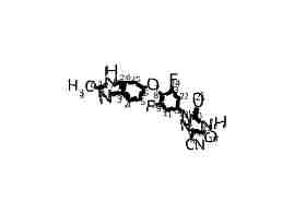 Cc1nc2ccc(Oc3c(F)cc(-n4nc(C#N)c(=O)[nH]c4=O)cc3F)cc2[nH]1